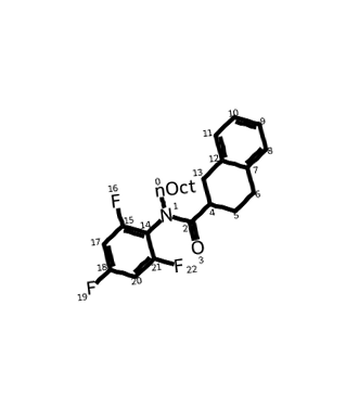 CCCCCCCCN(C(=O)C1CCc2ccccc2C1)c1c(F)cc(F)cc1F